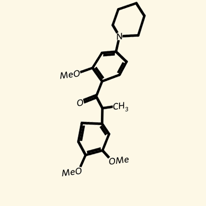 COc1ccc(C(C)C(=O)c2ccc(N3CCCCC3)cc2OC)cc1OC